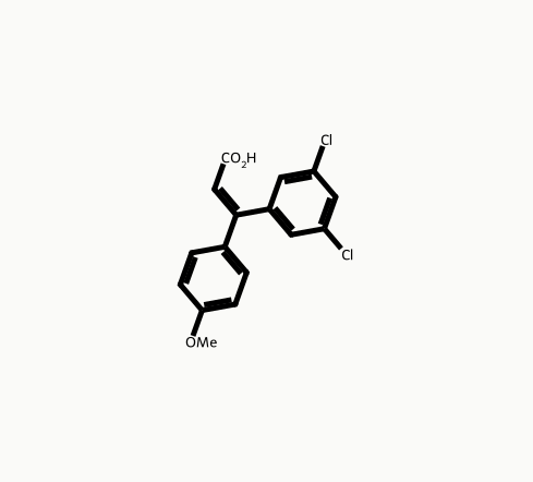 COc1ccc(/C(=C/C(=O)O)c2cc(Cl)cc(Cl)c2)cc1